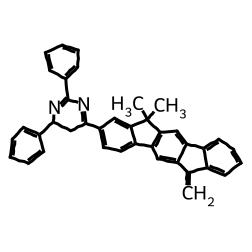 C=C1c2ccccc2-c2cc3c(cc21)-c1ccc(C2=NC(c4ccccc4)=NC(c4ccccc4)C2)cc1C3(C)C